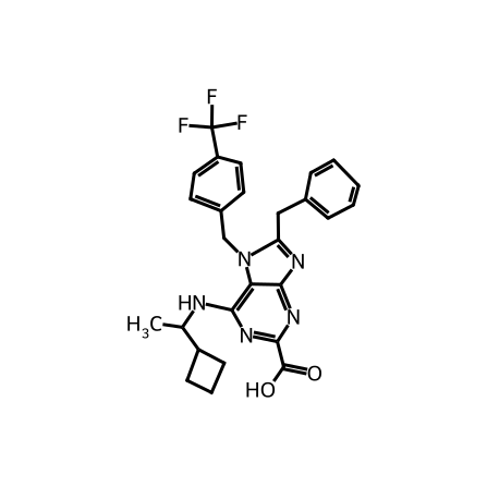 CC(Nc1nc(C(=O)O)nc2nc(Cc3ccccc3)n(Cc3ccc(C(F)(F)F)cc3)c12)C1CCC1